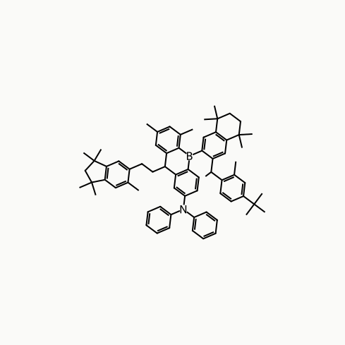 Cc1cc(C)c2c(c1)C(CCc1cc3c(cc1C)C(C)(C)CC3(C)C)c1cc(N(c3ccccc3)c3ccccc3)ccc1B2c1cc2c(cc1C(C)c1ccc(C(C)(C)C)cc1C)C(C)(C)CCC2(C)C